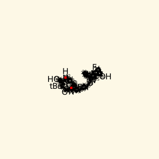 C#Cc1c(F)ccc2cc(O)cc(-c3ncc4c(N5CC6CCC(C5)N6)nc(OCCN5CCC(F)(CN6CCN(c7cnc(C(=O)CC[C@H](C(=O)N8C[C@H](O)C[C@H]8C(=O)N[C@@H](C)c8ccc(-c9scnc9C)cc8)C(C)(C)C)cn7)CC6)CC5)nc4c3F)c12